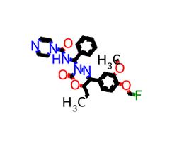 CCC1OC(=O)N(C(NC(=O)N2C=CN=CC2)c2ccccc2)N=C1c1ccc(OCF)c(OC)c1